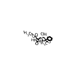 CCOC(=O)c1[nH]c(=O)[nH]c1CN1CCC(C(C)=O)(c2ccccc2)CC1.Cl